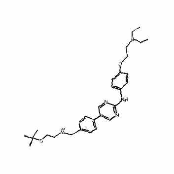 CCN(CC)CCOc1ccc(Nc2ncc(-c3ccc(CNCCOC(C)(C)C)cc3)cn2)cc1